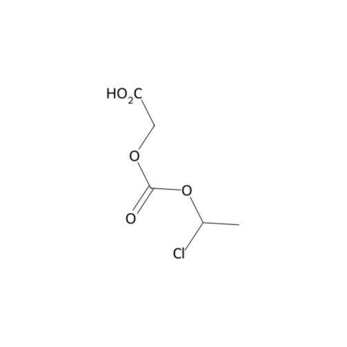 CC(Cl)OC(=O)OCC(=O)O